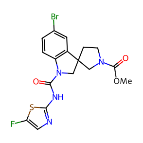 COC(=O)N1CCC2(C1)CN(C(=O)Nc1ncc(F)s1)c1ccc(Br)cc12